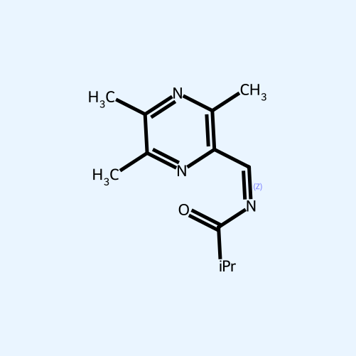 Cc1nc(C)c(/C=N\C(=O)C(C)C)nc1C